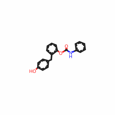 O=C(Nc1ccccc1)Oc1ccccc1Cc1ccc(O)cc1